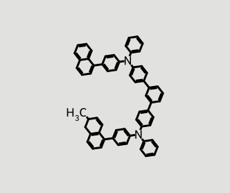 CC1C=Cc2c(cccc2-c2ccc(N(c3ccccc3)c3ccc(-c4cccc(-c5ccc(N(c6ccccc6)c6ccc(-c7cccc8ccccc78)cc6)cc5)c4)cc3)cc2)C1